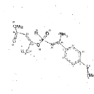 CCCCCCSc1ccc(C(N)=NP(=O)(CC)OC(C)=CC(=O)OC)cc1